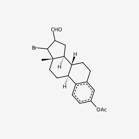 CC(=O)Oc1ccc2c(c1)CC[C@@H]1[C@@H]2CC[C@]2(C)C(Br)C(C=O)C[C@@H]12